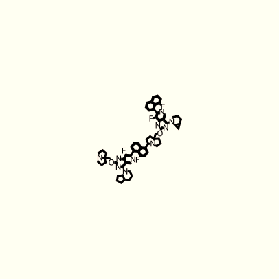 Fc1c(-c2cccc3cccc(F)c23)ncc2c(N3CCCC4CC43)nc(OCC34CCCN3C(c3ccc(F)c5c(-c6ncc7c(N8CCCC9CCCC98)nc(OCC89CCCN8CCC9)nc7c6F)cccc35)CC4)nc12